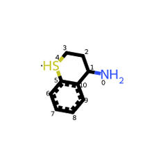 NC1CC[SH]c2ccccc21